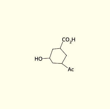 CC(=O)C1CC(O)CC(C(=O)O)C1